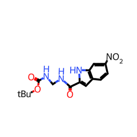 CC(C)(C)OC(=O)NCNC(=O)c1cc2ccc([N+](=O)[O-])cc2[nH]1